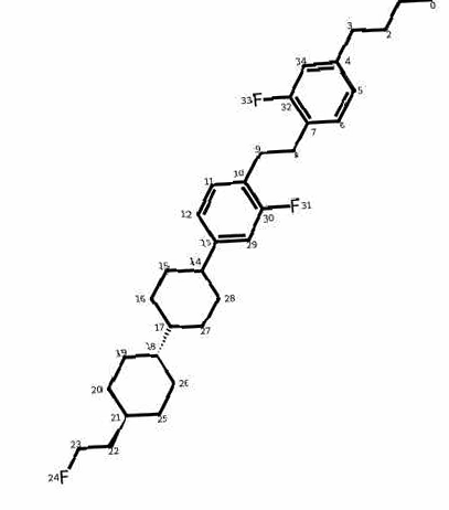 CCCCc1ccc(CCc2ccc(C3CCC([C@H]4CC[C@H](CCF)CC4)CC3)cc2F)c(F)c1